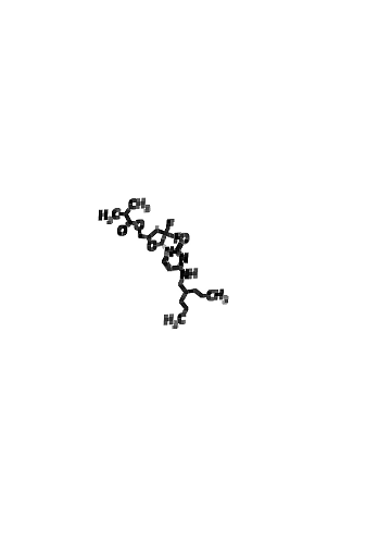 CCCC(CCC)CNc1ccn([C@@H]2O[C@@H](COC(=O)C(C)C)[CH]C2(F)F)c(=O)n1